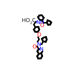 O=C(c1ccccc1)c1ccccc1N[C@@H](Cc1ccc(OCCCN(Cc2ccccc2)C(=O)c2cc3ccccc3cn2)cc1)C(=O)O